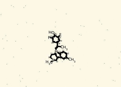 C/C(=C\n1c2c(c3cc(C)ccc31)CN(C)CC2)c1cc(F)c(O)c(F)c1